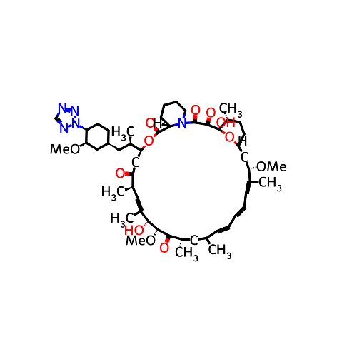 CO[C@H]1C[C@@H]2CC[C@@H](C)[C@@](O)(O2)C(=O)C(=O)N2CCCC[C@H]2C(=O)O[C@H]([C@H](C)C[C@@H]2CC[C@H](n3ncnn3)[C@H](OC)C2)CC(=O)[C@H](C)/C=C(\C)[C@@H](O)[C@@H](OC)C(=O)[C@@H](C)CC(C)/C=C/C=C/C=C/1C